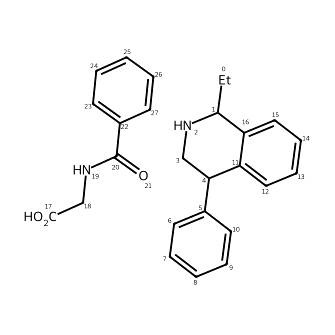 CCC1NCC(c2ccccc2)c2ccccc21.O=C(O)CNC(=O)c1ccccc1